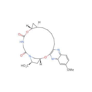 COc1ccc2nc3c(nc2c1)O[C@@H]1C[C@@H](C(=O)O)N(C1)C(=O)CNC(=O)O[C@@H]1C[C@H]1CCCCC3